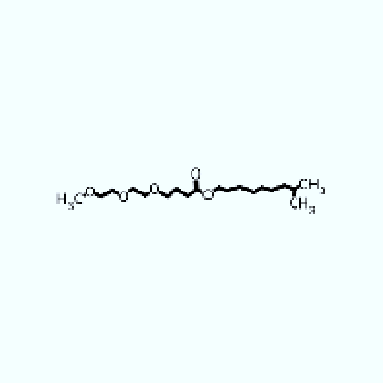 COCCOCCOCCCC(=O)OCCCCCCCC(C)C